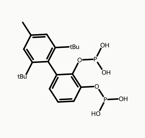 Cc1cc(C(C)(C)C)c(-c2cccc(OP(O)O)c2OP(O)O)c(C(C)(C)C)c1